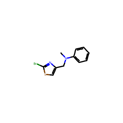 CN(Cc1csc(Br)n1)c1ccccc1